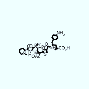 CCCN(C(=O)[C@@H](NC(=O)[C@H]1CCCCN1C)[C@@H](C)CC)[C@H](C[C@@H](OC(C)=O)c1nc(C(=O)N[C@@H](Cc2ccc(N)cc2)C[C@H](C)C(=O)O)cs1)C(C)C